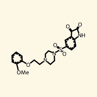 COc1ccccc1OCCN1CCN(S(=O)(=O)c2ccc3c(c2)C(=O)C(=O)N3)CC1